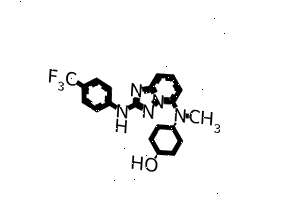 CN(c1cccc2nc(Nc3ccc(C(F)(F)F)cc3)nn12)[C@H]1CC[C@@H](O)CC1